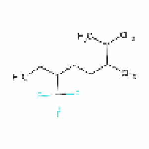 CCC(CCC(C)C(C)C)C(F)(F)F